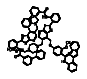 COCCN1CCN(Cc2cnc3sc(-c4ccccc4NC(=O)c4cccc(-c5cccc(-c6c(CN7CCCC7)cnc7sc(-c8ccccc8NC(=O)c8cccc(-c9ccccc9)c8)nc67)c5)c4)nc3c2COc2ccc(C(=O)Nc3ccccc3-c3cn4ccccc4n3)c(OC)c2)CC1